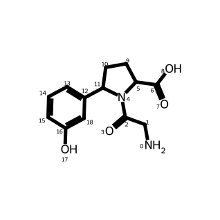 NCC(=O)N1C(C(=O)O)CCC1c1cccc(O)c1